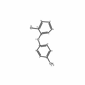 Cc1ccc(Oc2ccccc2Cl)cc1